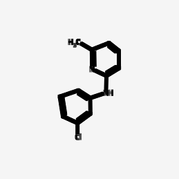 Cc1cccc(Nc2cccc(Cl)c2)n1